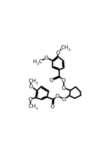 COc1ccc(C(=O)OO[C]2CC[CH]CC2OOC(=O)c2ccc(OC)c(OC)c2)cc1OC